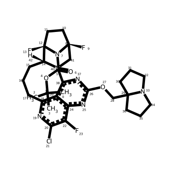 CC(C)(C)OC(=O)N1[C@]2(F)CC[C@@]1(F)[C@H]1CCCc3nc(Cl)c(F)c4nc(OCC56CCCN5CCC6)nc(c34)N1C2